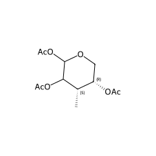 CC(=O)OC1OC[C@H](OC(C)=O)[C@H](C)C1OC(C)=O